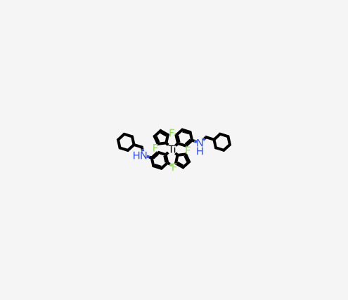 Fc1ccc(NCC2CCCCC2)c(F)[c]1[Ti]([c]1c(F)ccc(NCC2CCCCC2)c1F)([CH]1C=CC=C1)[CH]1C=CC=C1